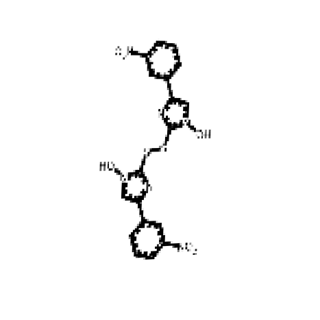 O=[N+]([O-])c1cccc(-c2cn(O)c(SSc3nc(-c4cccc([N+](=O)[O-])c4)cn3O)n2)c1